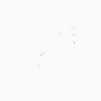 CSC(C)NC1CC(c2ccc(-c3ccnc(C(C)(C)O)c3)cc2)=NO1